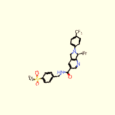 CCS(=O)(=O)c1ccc(CNC(=O)c2cnc3c(c2)CN(c2ccc(C(F)(F)F)cc2)[C@H]3C(C)C)cc1